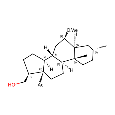 CO[C@@H]1C[C@@H]2[C@H](CC[C@]3(C(C)=O)[C@@H](CO)CC[C@@H]23)[C@@]2(C)CC[C@@H](C)C[C@H]12